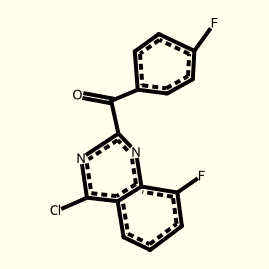 O=C(c1ccc(F)cc1)c1nc(Cl)c2cccc(F)c2n1